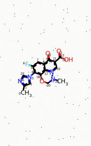 Cc1cn(-c2c(F)cc3c(=O)c(C(=O)O)cn4c3c2OCN4C)cn1